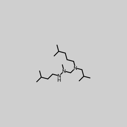 CC(C)CCCN(CC(C)C)CN(C)NCCC(C)C